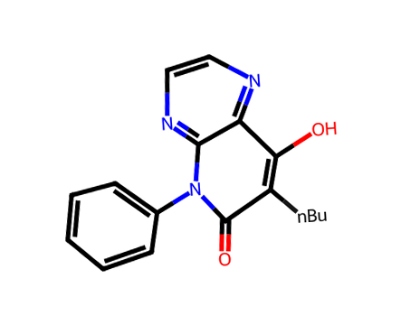 CCCCc1c(O)c2nccnc2n(-c2ccccc2)c1=O